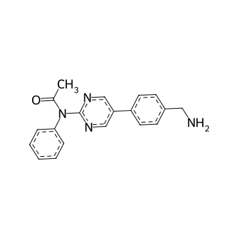 CC(=O)N(c1ccccc1)c1ncc(-c2ccc(CN)cc2)cn1